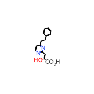 O=C(O)C(O)=Cc1nccc(CCc2ccccc2)n1